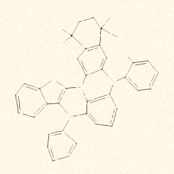 Cc1ccccc1N1c2cc3c(cc2B2c4sc5ccccc5c4N(c4ccccc4)c4cccc1c42)C(C)(C)CCC3(C)C